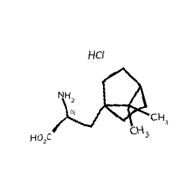 CC1(C)C2CCC1(C[C@H](N)C(=O)O)CC2.Cl